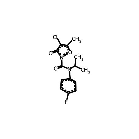 Cc1on(C(=O)N(c2ccc(F)cc2)C(C)C)c(=O)c1Cl